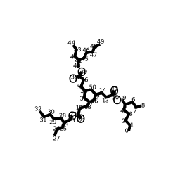 CCCCCC(CCC)COC(=O)CCC1CC(CCC(=O)OCC(CCC)CCCCC)CC(CCC(=O)OCC(CCC)CCCCC)C1